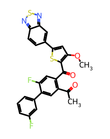 COc1cc(-c2ccc3nsnc3c2)sc1C(=O)c1cc(F)c(-c2cccc(F)c2)cc1C(C)=O